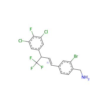 NCc1ccc(/C=C/C(c2cc(Cl)c(F)c(Cl)c2)C(F)(F)F)cc1Br